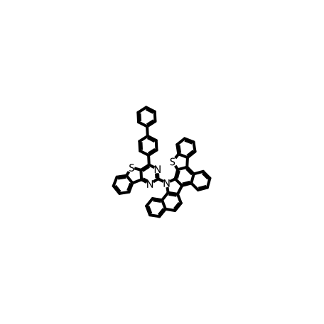 c1ccc(-c2ccc(-c3nc(-n4c5c6ccccc6ccc5c5c6ccccc6c6c7ccccc7sc6c54)nc4c3sc3ccccc34)cc2)cc1